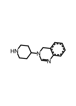 C1=Nc2ccccc2CN1C1CCNCC1